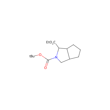 CCOC(=O)C1C2CCCC2CN1C(=O)OC(C)(C)C